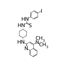 CN(C)c1cc(N[C@H]2CC[C@@H](NC(=S)Nc3ccc(I)cc3)CC2)nc2ccccc12